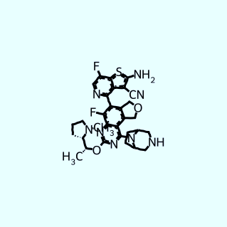 C[C@@H](Oc1nc(N2C3CCC2CNC3)c2c3c(c(-c4ncc(F)c5sc(N)c(C#N)c45)c(F)c2n1)COC3)[C@@H]1CCCN1C